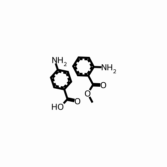 COC(=O)c1ccccc1N.Nc1ccc(C(=O)O)cc1